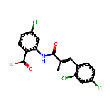 CC(=Cc1ccc(Cl)cc1Cl)C(=O)Nc1cc(Cl)ccc1C(=O)O